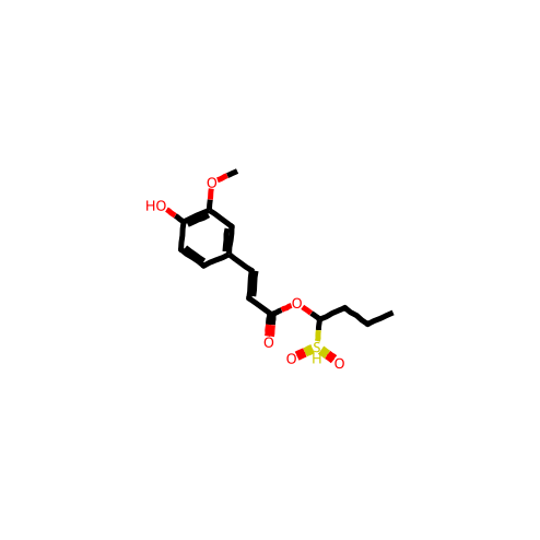 CCCC(OC(=O)C=Cc1ccc(O)c(OC)c1)[SH](=O)=O